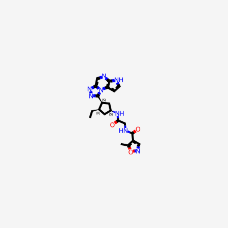 CC[C@@H]1C[C@H](NC(=O)CNC(=O)c2cnoc2C)C[C@@H]1c1nnc2cnc3[nH]ccc3n12